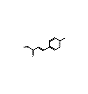 CNC(=O)C=Cc1ccc(C)cc1